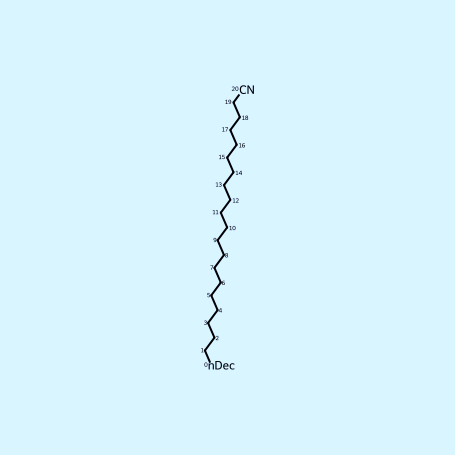 [CH2]CCCCCCCCCCCCCCCCCCCCCCCCCCCCC#N